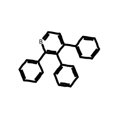 b1ccc(-c2ccccc2)c(-c2ccccc2)c1-c1ccccc1